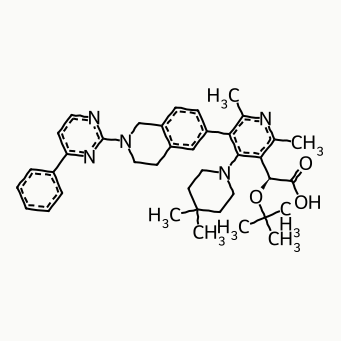 Cc1nc(C)c([C@H](OC(C)(C)C)C(=O)O)c(N2CCC(C)(C)CC2)c1-c1ccc2c(c1)CCN(c1nccc(-c3ccccc3)n1)C2